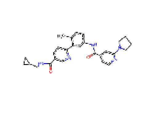 Cc1ccc(NC(=O)c2ccnc(N3CCCC3)c2)cc1-c1ccc(C(=O)NCC2CC2)cn1